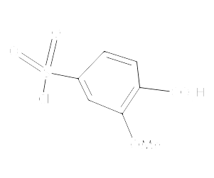 COc1cc(S(=O)(=O)Cl)ccc1C(=O)O